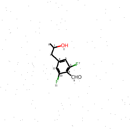 CC(O)Cc1cc(F)c(C=O)c(F)c1